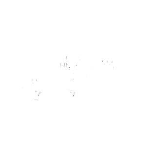 CCNS(=O)(=O)c1cc(C(=O)O)ccc1-c1cnc([C@H]2CC[C@H](NC(=O)OC3COC3)CC2)s1